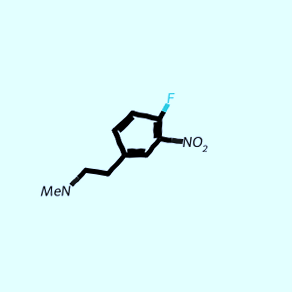 CNCCc1ccc(F)c([N+](=O)[O-])c1